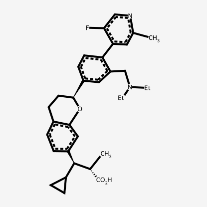 CCN(CC)Cc1cc([C@@H]2CCc3ccc([C@H](C4CC4)[C@H](C)C(=O)O)cc3O2)ccc1-c1cc(C)ncc1F